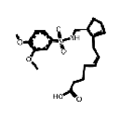 COc1ccc(S(=O)(=O)NC[C@H]2CCC=C2C/C=C\CCCC(=O)O)cc1OC